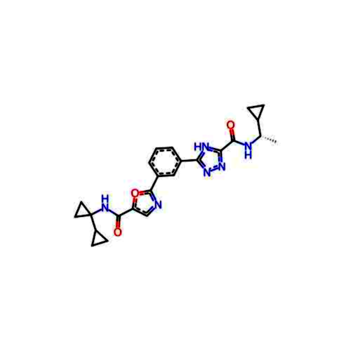 C[C@H](NC(=O)c1nnc(-c2cccc(-c3ncc(C(=O)NC4(C5CC5)CC4)o3)c2)[nH]1)C1CC1